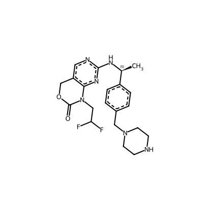 C[C@H](Nc1ncc2c(n1)N(CC(F)F)C(=O)OC2)c1ccc(CN2CCNCC2)cc1